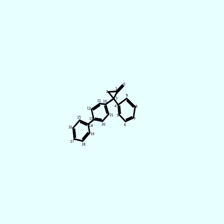 C=C1CC1(c1ccccc1)c1ccc(-c2ccccc2)cc1